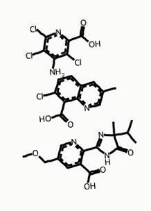 COCc1cnc(C2=NC(C)(C(C)C)C(=O)N2)c(C(=O)O)c1.Cc1cnc2c(C(=O)O)c(Cl)ccc2c1.Nc1c(Cl)c(Cl)nc(C(=O)O)c1Cl